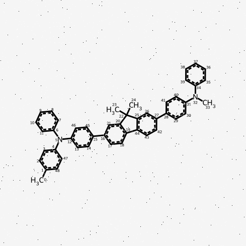 Cc1ccc(N(c2ccccc2)c2ccc(-c3ccc4c(c3)C(C)(C)c3cc(-c5ccc(N(C)c6ccccc6)cc5)ccc3-4)cc2)cc1